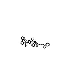 Cc1ccc(-c2ccccc2C(=O)Nc2ccc(C(=O)N(C)c3ccccc3S(=O)(=O)CCCCCC(=O)N3CCN(C)CC3)cc2)cc1